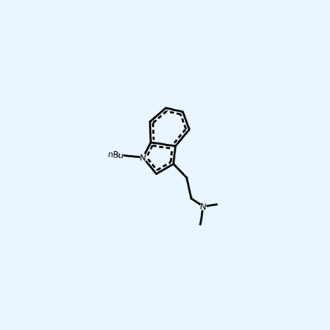 CCCCn1cc(CCN(C)C)c2ccccc21